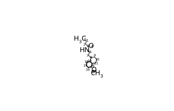 CCCC(=O)NCCC1CCCc2c(OC)cccc21